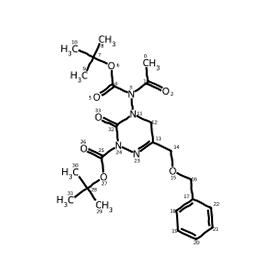 CC(=O)N(C(=O)OC(C)(C)C)N1CC(COCc2ccccc2)=NN(C(=O)OC(C)(C)C)C1=O